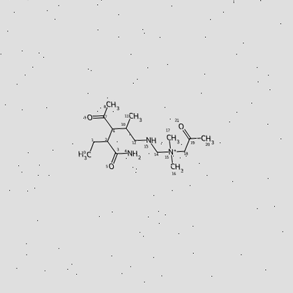 CCC(C(N)=O)C(C(C)=O)C(C)CNC[N+](C)(C)CC(C)=O